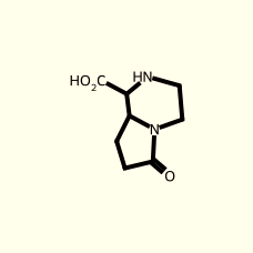 O=C(O)C1NCCN2C(=O)CCC12